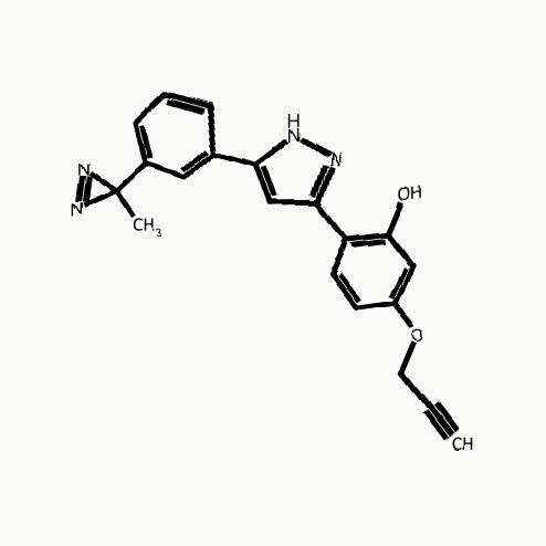 C#CCOc1ccc(-c2cc(-c3cccc(C4(C)N=N4)c3)[nH]n2)c(O)c1